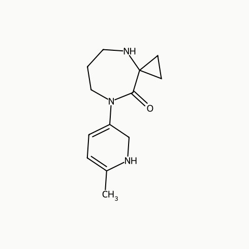 CC1=CC=C(N2CCCNC3(CC3)C2=O)CN1